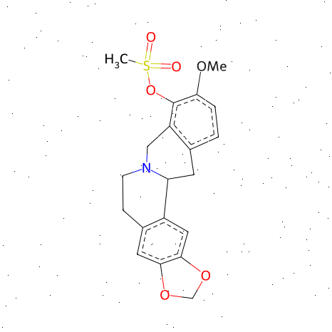 COc1ccc2c(c1OS(C)(=O)=O)CN1CCc3cc4c(cc3C1C2)OCO4